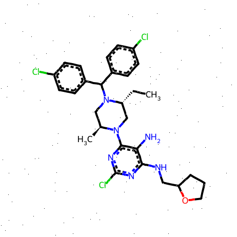 CC[C@@H]1CN(c2nc(Cl)nc(NCC3CCCO3)c2N)[C@@H](C)CN1C(c1ccc(Cl)cc1)c1ccc(Cl)cc1